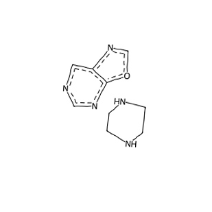 C1CNCCN1.c1ncc2ncoc2n1